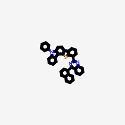 c1ccc(-n2c3ccccc3c3c4sc5c(-c6nc(-c7cccc8ccccc78)c7ccccc7n6)cccc5c4ccc32)cc1